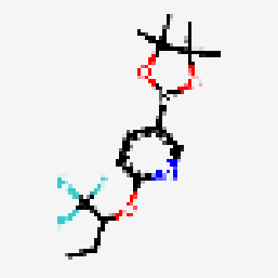 CCC(Oc1ccc(B2OC(C)(C)C(C)(C)O2)cn1)C(F)(F)F